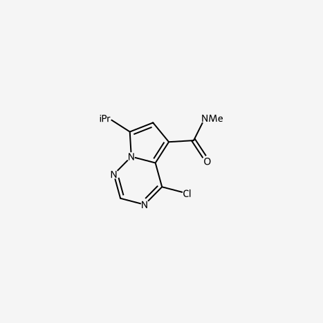 CNC(=O)c1cc(C(C)C)n2ncnc(Cl)c12